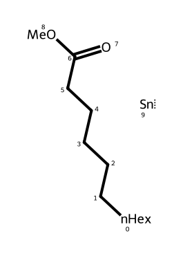 CCCCCCCCCCCC(=O)OC.[Sn]